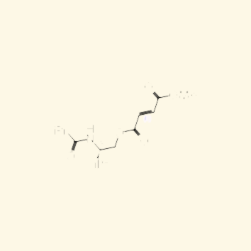 COC(=O)/C=C/C(=O)OC[C@H](NC(=O)C(C)C)C(C)C